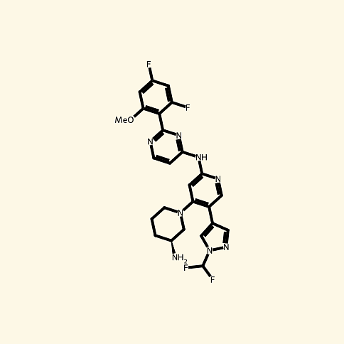 COc1cc(F)cc(F)c1-c1nccc(Nc2cc(N3CCC[C@H](N)C3)c(-c3cnn(C(F)F)c3)cn2)n1